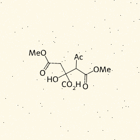 COC(=O)CC(O)(C(=O)O)C(C(C)=O)C(=O)OC